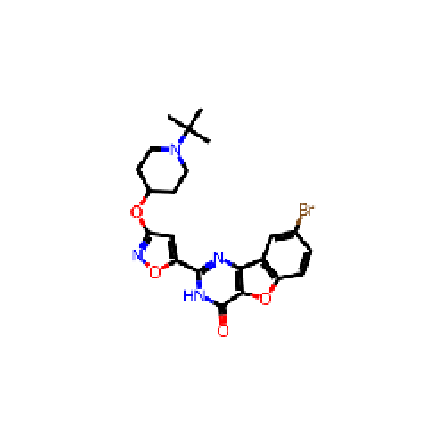 CC(C)(C)N1CCC(Oc2cc(-c3nc4c(oc5ccc(Br)cc54)c(=O)[nH]3)on2)CC1